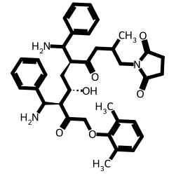 Cc1cccc(C)c1OCC(=O)[C@@H](C(N)c1ccccc1)[C@@H](O)C[C@H](C(=O)CC(C)CN1C(=O)CCC1=O)C(N)c1ccccc1